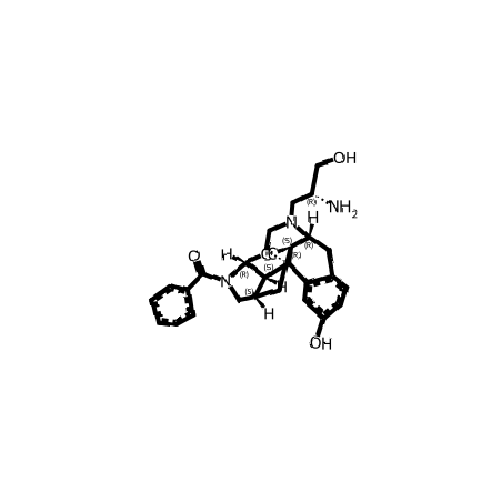 N[C@@H](CO)CN1CC[C@@]23c4cc(O)ccc4C[C@@H]1[C@]21CC[C@@H]2[C@H]3[C@@H](CN2C(=O)c2ccccc2)C1